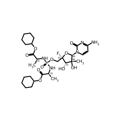 C[C@H](NP(=O)(N[C@@H](C)C(=O)OC1CCCCC1)OC[C@@]1(F)O[C@@H](n2ccc(N)nc2=O)[C@](C)(O)[C@@H]1O)C(=O)OC1CCCCC1